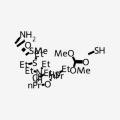 C=O.CC.CCCOCCC.CCCl.CCNCC.CCS.CCSCC.CN.COC(=O)OC.CS.CSC